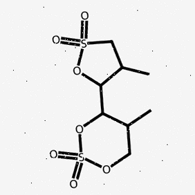 CC1CS(=O)(=O)OC1C1OS(=O)(=O)OCC1C